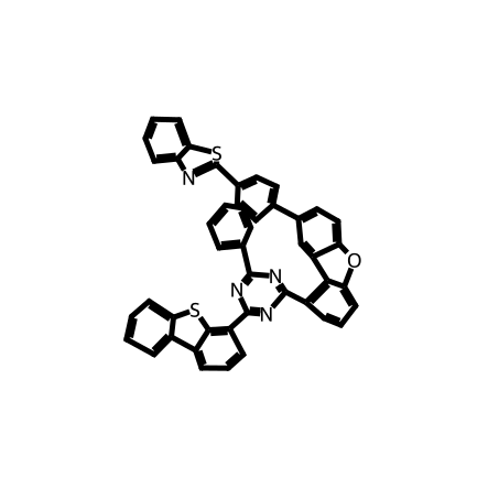 c1ccc(-c2nc(-c3cccc4c3sc3ccccc34)nc(-c3cccc4oc5ccc(-c6ccc(-c7nc8ccccc8s7)cc6)cc5c34)n2)cc1